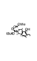 COC(=O)[C@@H]1Cc2c(ccc(C)c2O)CN1C(=O)OC(C)(C)C